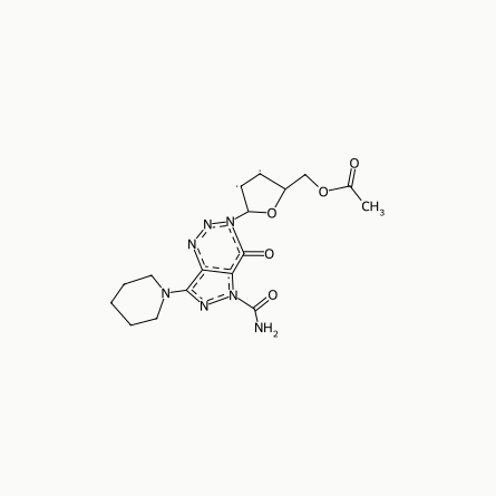 CC(=O)OCC1[CH][CH]C(n2nnc3c(N4CCCCC4)nn(C(N)=O)c3c2=O)O1